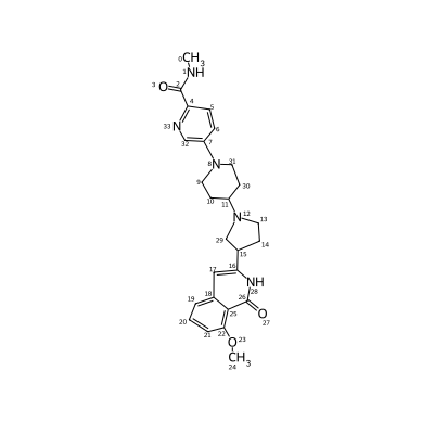 CNC(=O)c1ccc(N2CCC(N3CCC(c4cc5cccc(OC)c5c(=O)[nH]4)C3)CC2)cn1